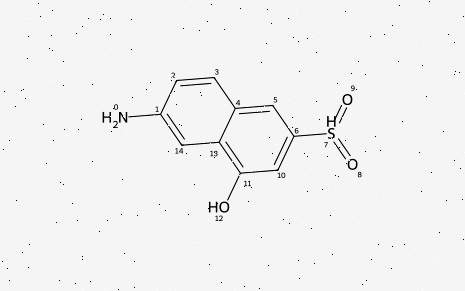 Nc1ccc2cc([SH](=O)=O)cc(O)c2c1